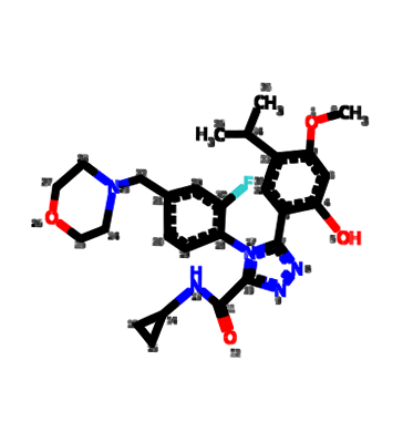 COc1cc(O)c(-c2nnc(C(=O)NC3CC3)n2-c2ccc(CN3CCOCC3)cc2F)cc1C(C)C